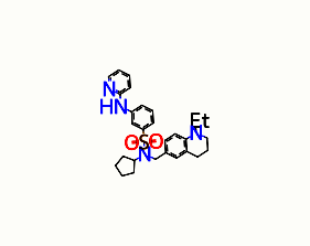 CCN1CCCc2cc(CN(C3CCCC3)S(=O)(=O)c3cccc(Nc4ccccn4)c3)ccc21